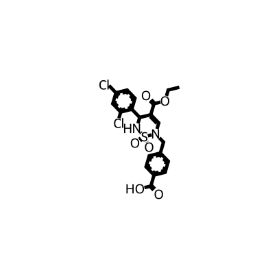 CCOC(=O)C1=CN(Cc2ccc(C(=O)O)cc2)S(=O)(=O)NC1c1ccc(Cl)cc1Cl